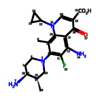 Cc1c(N2CC[C@H](N)[C@@H](C)C2)c(F)c(N)c2c(=O)c(C(=O)O)cn(C3CC3)c12